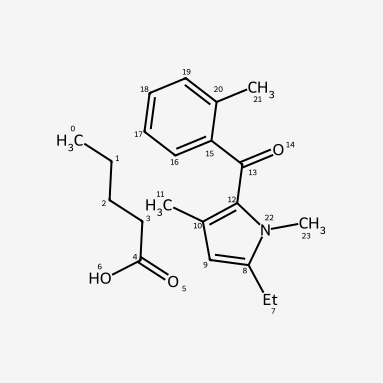 CCCCC(=O)O.CCc1cc(C)c(C(=O)c2ccccc2C)n1C